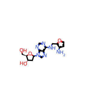 Nc1ccoc1CNc1ncnc2c1ncn2C1C[C@H](O)[C@@H](CO)O1